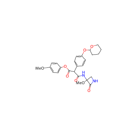 COc1ccc(OC(=O)C(C(=O)NC2(OC)CNC2=O)c2ccc(OC3CCCCO3)cc2)cc1